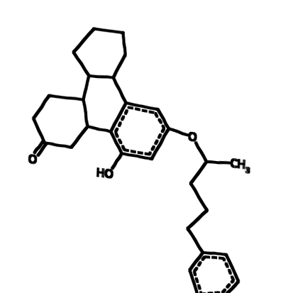 CC(CCCc1ccccc1)Oc1cc(O)c2c(c1)C1CCCCC1C1CCC(=O)CC21